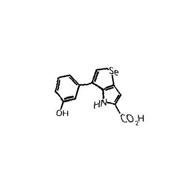 O=C(O)c1cc2[se]cc(-c3cccc(O)c3)c2[nH]1